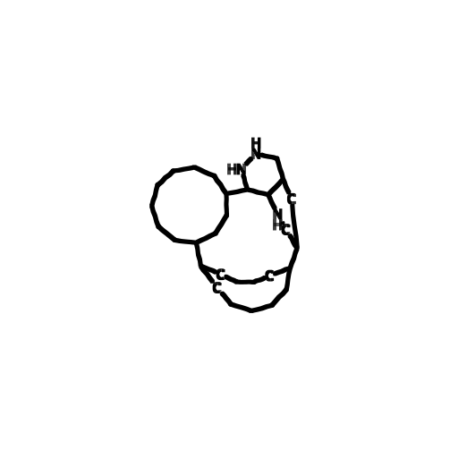 C1CCCC2CCC(CCC1)C1NNCC3CC(CNC31)C1CCCCCC2CCCC1